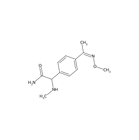 CNC(C(N)=O)c1ccc(/C(C)=N\OC)cc1